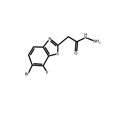 NNC(=O)Cc1nc2ccc(Br)c(F)c2s1